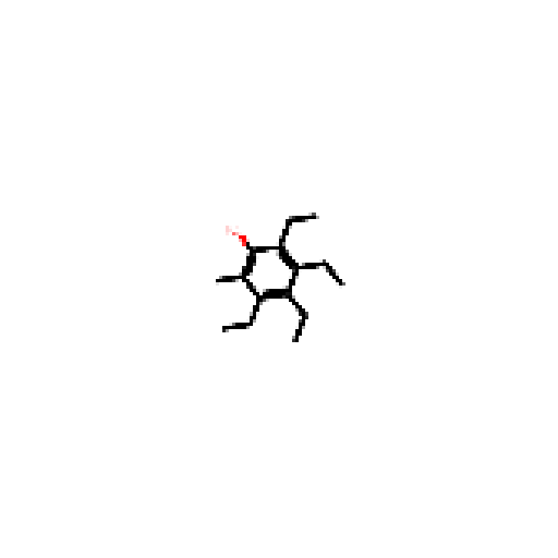 CCc1c(C)c(O)c(CC)c(CC)c1CC